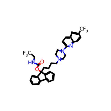 O=C(NCC(F)(F)F)OC1(CCCCN2CCN(c3ccc4cc(C(F)(F)F)ccc4n3)CC2)c2ccccc2-c2ccccc21